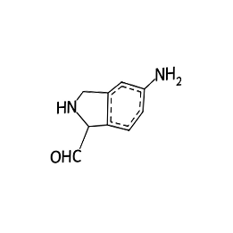 Nc1ccc2c(c1)CNC2C=O